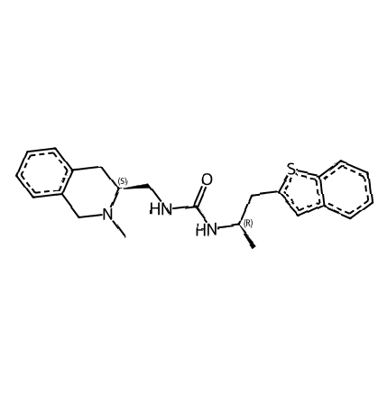 C[C@H](Cc1cc2ccccc2s1)NC(=O)NC[C@@H]1Cc2ccccc2CN1C